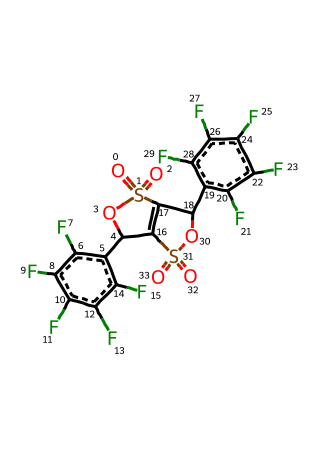 O=S1(=O)OC(c2c(F)c(F)c(F)c(F)c2F)C2=C1C(c1c(F)c(F)c(F)c(F)c1F)OS2(=O)=O